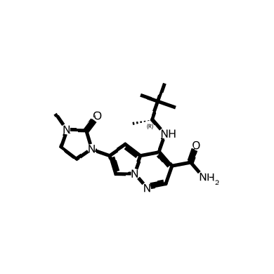 C[C@@H](Nc1c(C(N)=O)cnn2cc(N3CCN(C)C3=O)cc12)C(C)(C)C